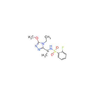 CCn1c(OC)nnc1[C@@H](C)NS(=O)(=O)c1ccccc1F